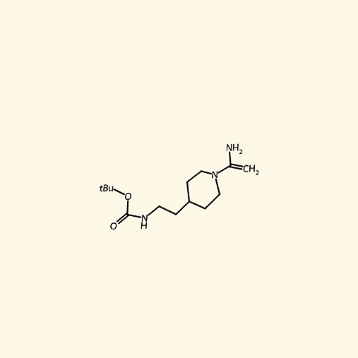 C=C(N)N1CCC(CCNC(=O)OC(C)(C)C)CC1